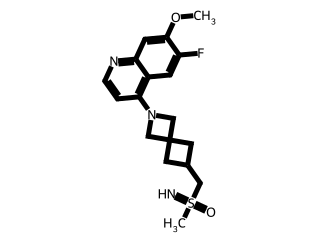 COc1cc2nccc(N3CC4(CC(CS(C)(=N)=O)C4)C3)c2cc1F